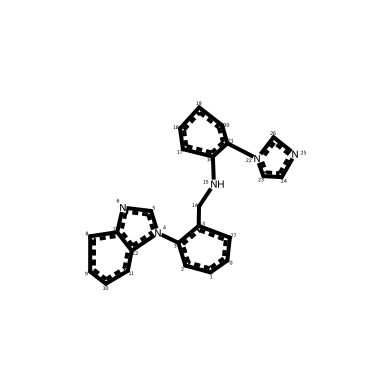 c1ccc(-n2cnc3ccccc32)c(CNc2ccccc2-n2ccnc2)c1